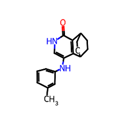 Cc1cccc(Nc2c[nH]c(=O)c3c2C2CCC3CC2)c1